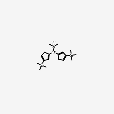 C[SiH](C)[Zr]([C]1=CC([Si](C)(C)C)=CC1)[C]1=CC([Si](C)(C)C)=CC1